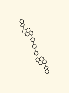 C1=CC(c2cc3ccccc3s2)C2=CCc3ccc(-c4ccc(-c5ccc(-c6ccc(-c7ccc8ccc9c(-c%10cc%11ccccc%11s%10)ccc%10ccc7c8c%109)cc6)cc5)cc4)c4ccc1c2c34